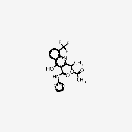 CC(=O)OC(C)c1nc2c(C(F)(F)F)cccc2c(O)c1C(=O)Nc1nccs1